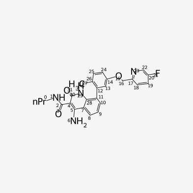 CCCNC(=O)c1c(N)c2cccc(-c3cc(OCc4ccc(F)cn4)ccc3C)c2[nH]c1=O